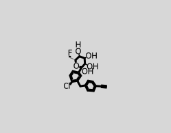 C#Cc1ccc(Cc2cc([C@]3(O)O[C@H](CF)[C@@H](O)[C@H](O)[C@H]3O)ccc2Cl)cc1